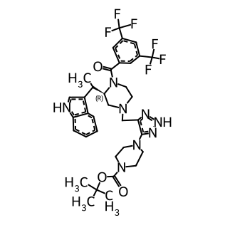 CC(c1c[nH]c2ccccc12)[C@@H]1CN(Cc2n[nH]nc2N2CCN(C(=O)OC(C)(C)C)CC2)CCN1C(=O)c1cc(C(F)(F)F)cc(C(F)(F)F)c1